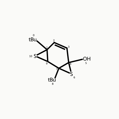 CC(C)(C)C12C=CC3(O)SC3(C(C)(C)C)C1S2